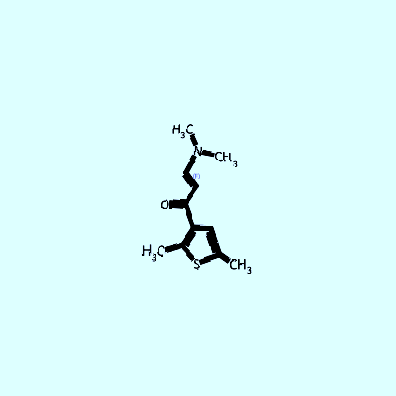 Cc1cc(C(=O)/C=C/N(C)C)c(C)s1